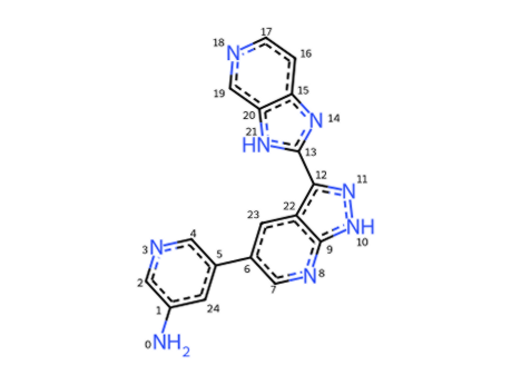 Nc1cncc(-c2cnc3[nH]nc(-c4nc5ccncc5[nH]4)c3c2)c1